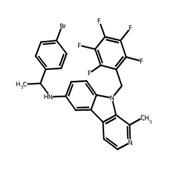 Cc1nccc2c3cc(NC(C)c4ccc(Br)cc4)ccc3n(Cc3c(F)c(F)c(F)c(F)c3F)c12